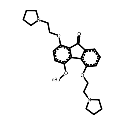 CCCCOc1ccc(OCCN2CCCC2)c2c1-c1c(OCCN3CCCC3)cccc1C2=O